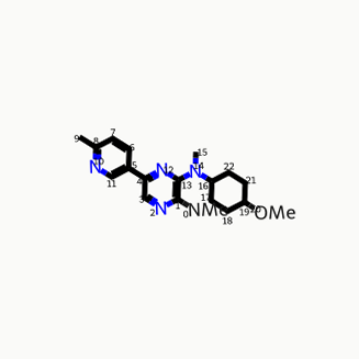 CNc1ncc(-c2ccc(C)nc2)nc1N(C)C1CCC(OC)CC1